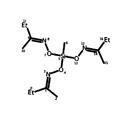 CCC(C)=NO[Si](C)(ON=C(C)CC)ON=C(C)CC